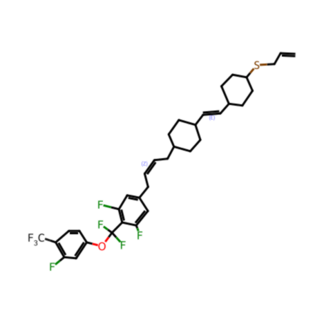 C=CCSC1CCC(/C=C/C2CCC(C/C=C\Cc3cc(F)c(C(F)(F)Oc4ccc(C(F)(F)F)c(F)c4)c(F)c3)CC2)CC1